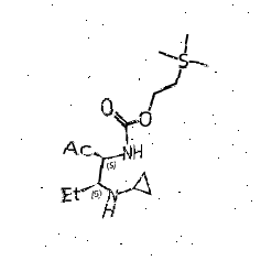 CC[C@H](NC1CC1)[C@H](NC(=O)OCCS(C)(C)C)C(C)=O